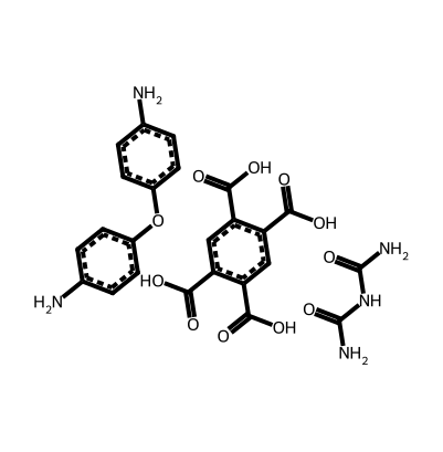 NC(=O)NC(N)=O.Nc1ccc(Oc2ccc(N)cc2)cc1.O=C(O)c1cc(C(=O)O)c(C(=O)O)cc1C(=O)O